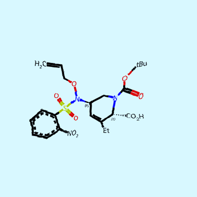 C=CCON([C@@H]1C=C(CC)[C@@H](C(=O)O)N(C(=O)OC(C)(C)C)C1)S(=O)(=O)c1ccccc1[N+](=O)[O-]